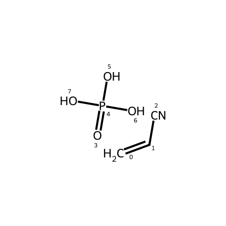 C=CC#N.O=P(O)(O)O